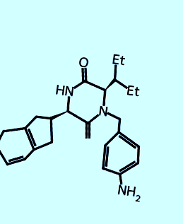 C=C1[C@@H](C2CC3=C(CCC=C3)C2)NC(=O)[C@@H](C(CC)CC)N1Cc1ccc(N)cc1